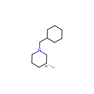 [CH2][C@@H]1CCCN(CC2CCCCC2)C1